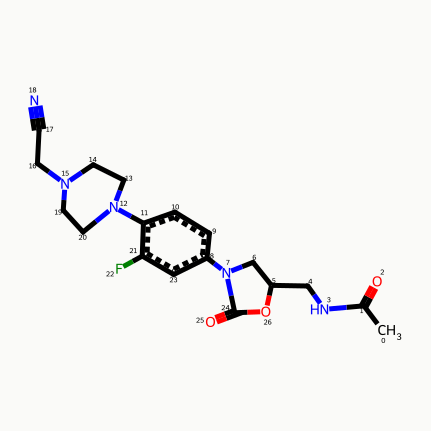 CC(=O)NCC1CN(c2ccc(N3CCN(CC#N)CC3)c(F)c2)C(=O)O1